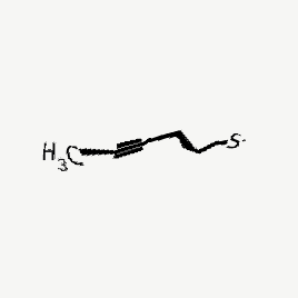 CC#CCC[S]